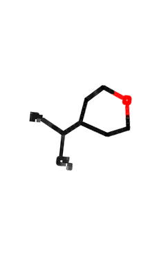 CC(C)C(C1CCOCC1)C(F)(F)F